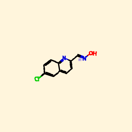 O/N=C/c1ccc2cc(Cl)ccc2n1